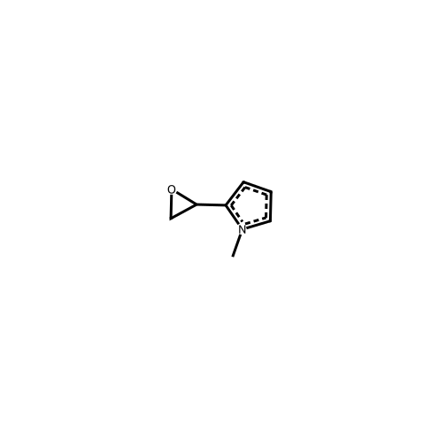 Cn1cccc1C1CO1